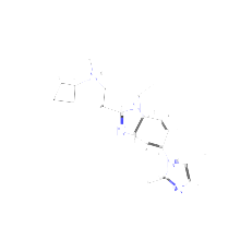 CCn1c(CCN(C)C2CCC2)nc2cc(-n3c(C)cnc3C)ccc21